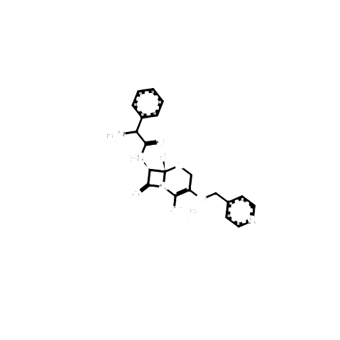 NC(C(=O)N[C@@H]1C(=O)N2C(C(=O)O)=C(OCc3ccncc3)CS[C@@H]12)c1ccccc1